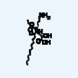 CC(O)C(=O)O.CCCCCCCCCCCC(=O)N[C@@H](CCCCN)C(=O)OCC